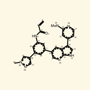 C=CC(=O)Nc1cc(-c2cnc3[nH]cc(-c4ccnc(NC)c4)c3c2)cc(-c2cnn(C)c2)c1